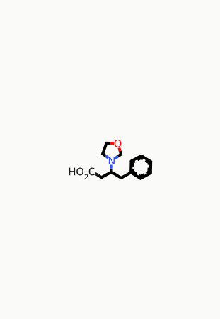 O=C(O)CC(Cc1ccccc1)N1CCOC1